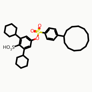 O=S(=O)(O)c1c(C2CCCCC2)cc(OS(=O)(=O)c2ccc(C3CCCCCCCCCCC3)cc2)cc1C1CCCCC1